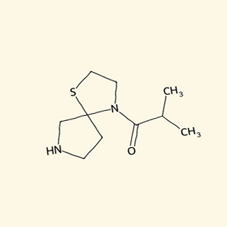 CC(C)C(=O)N1CCSC12CCNC2